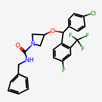 O=C(NCc1ccccc1)N1CC(OC(c2ccc(Cl)cc2)c2ccc(F)cc2C(F)(F)F)C1